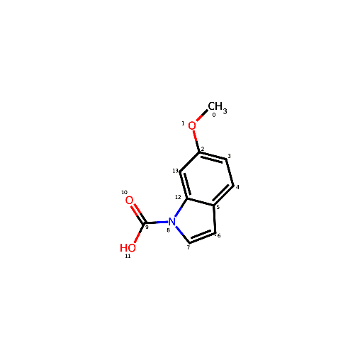 COc1ccc2[c]cn(C(=O)O)c2c1